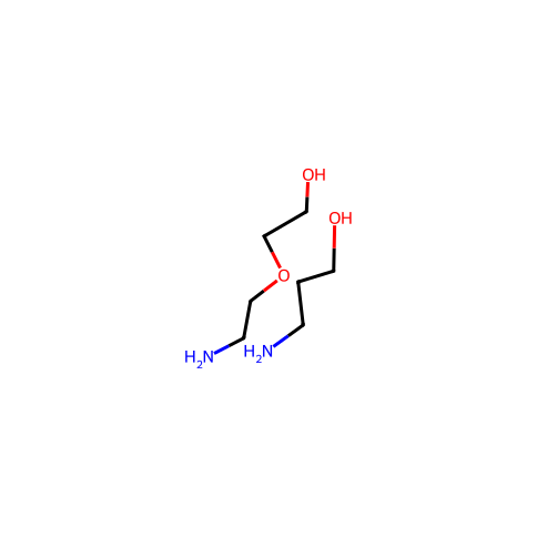 NCCCO.NCCOCCO